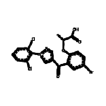 CC(Oc1ccc(Br)cc1C(=O)c1cnn(-c2c(Cl)cccc2Cl)c1)C(=O)O